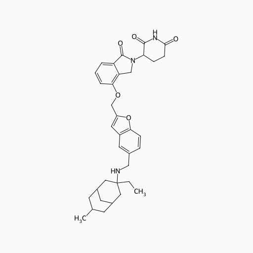 CCC1(NCc2ccc3oc(COc4cccc5c4CN(C4CCC(=O)NC4=O)C5=O)cc3c2)CC2CC(C)CC(C2)C1